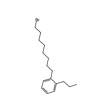 CCCc1ccccc1CCCCCCCCBr